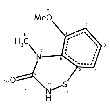 COc1cccc2c1N(C)C(=O)NS2